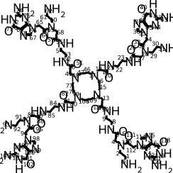 NCCN(CC(=O)NCCNC(=O)CN1CCN(CC(=O)NCCNC(=O)CN(CCN)C(=O)Cn2cnc3c(=O)[nH]c(N)nc32)CCN(CC(=O)NCCNC(=O)CN(CCN)C(=O)Cn2cnc3c(=O)[nH]c(N)nc32)CCN(CC(=O)NCCNC(=O)CN(CCN)C(=O)Cn2cnc3c(=O)[nH]c(N)nc32)CC1)C(=O)Cn1cnc2c(=O)[nH]c(N)nc21